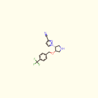 N#Cc1ccn([C@@H]2CNC[C@H]2OCc2ccc(C(F)(F)F)cc2)n1